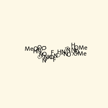 COC(=O)N[C@H](C(=O)N1CCC[C@H]1C1=NCC(C2CCN(c3c(F)cc(-c4cnc([C@@H]5CCCN5C(=O)[C@H](NC(=O)OC)c5ccccc5)[nH]4)cc3F)CC2)N1)[C@@H](C)OC